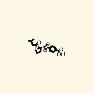 CC(C)CC(=O)N1CCC[C@H]1CS(=O)(=O)c1ccc(C(=O)O)cc1